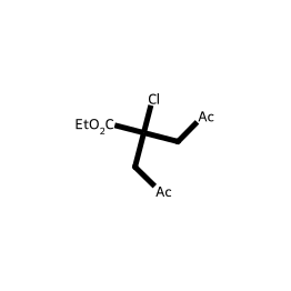 CCOC(=O)C(Cl)(CC(C)=O)CC(C)=O